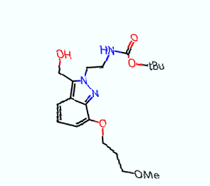 COCCCOc1cccc2c(CO)n(CCNC(=O)OC(C)(C)C)nc12